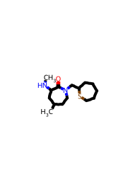 CNC1CC(C)CCN(CC2CCCCCS2)C1=O